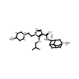 CC(C)COc1c(C(=O)N[C@H]2C3CC4CC2C[C@](O)(C4)C3)cnn1CCN1CCC(O)CC1